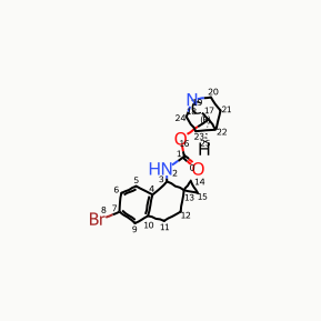 O=C(NC1c2ccc(Br)cc2CCC12CC2)O[C@H]1CN2CCC1CC2